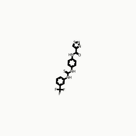 O=C(Nc1ccc(NC(=S)Nc2cccc(C(F)(F)F)c2)cc1)c1csnn1